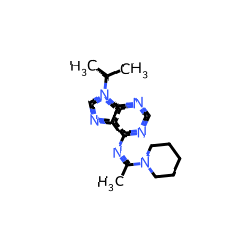 C/C(=N/c1ncnc2c1ncn2C(C)C)N1CCCCC1